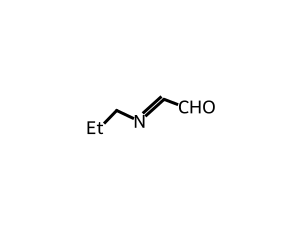 CCCN=CC=O